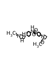 CCCN1C[C@@H]2C[C@@H](c3ccc(NS(=O)(=O)c4ccc(N5CCCC5COC)cc4)cc3)[C@@H]2C1